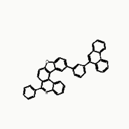 c1ccc(-c2nc3ccccc3c3c2ccc2oc4ccc(-c5cccc(-c6cc7ccccc7c7ccccc67)c5)cc4c23)cc1